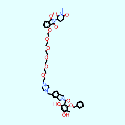 Cc1c(O)cc(O)c(C(=O)N2Cc3ccc(CN4CCN(CCOCCOCCOCCOCCOCCOc5cccc6c5C(=O)N(C5CCC(=O)NC5=O)C6=O)CC4)cc3C2)c1OCc1ccccc1